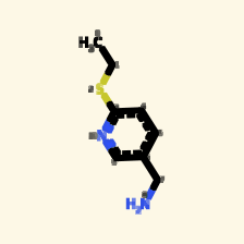 CCSc1ccc(CN)cn1